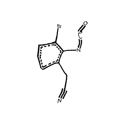 N#CCc1cccc(Br)c1N=C=O